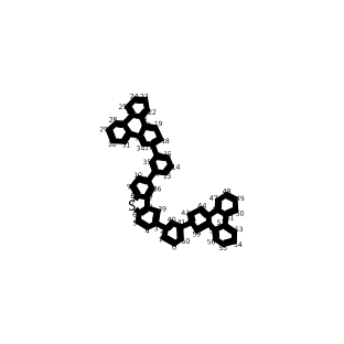 c1cc(-c2ccc3sc4ccc(-c5cccc(-c6ccc7c8ccccc8c8ccccc8c7c6)c5)cc4c3c2)cc(-c2ccc3c4ccccc4c4ccccc4c3c2)c1